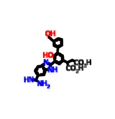 N=C(N)c1ccc2nc(-c3cc(C(CC(=O)O)C(=O)O)cc(-c4cccc(CO)c4)c3O)[nH]c2c1